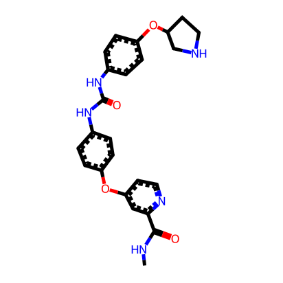 CNC(=O)c1cc(Oc2ccc(NC(=O)Nc3ccc(OC4CCNC4)cc3)cc2)ccn1